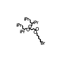 CC(C)CCC(COC(CCC(=O)OCCCCCCBr)OCC(CCC(C)C)C(C)C)C(C)C